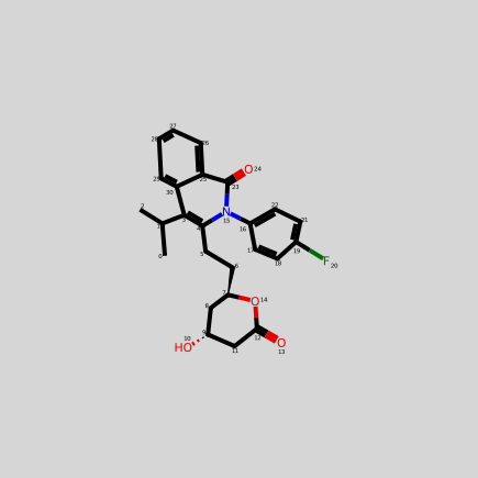 CC(C)c1c(CC[C@@H]2C[C@@H](O)CC(=O)O2)n(-c2ccc(F)cc2)c(=O)c2ccccc12